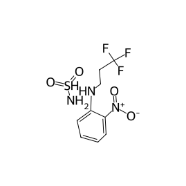 N[SH](=O)=O.O=[N+]([O-])c1ccccc1NCCC(F)(F)F